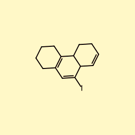 IC1=CC2=C(CCCC2)C2CCC=CC12